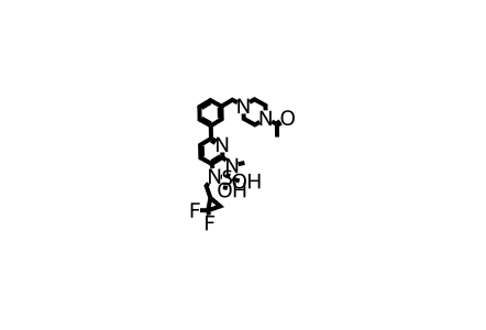 CC(=O)N1CCN(Cc2cccc(-c3ccc4c(n3)N(C)S(O)(O)N4CC3CC3(F)F)c2)CC1